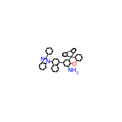 Nc1cc(-c2ccc(-n3c(-c4ccccc4)nc4ccccc43)c3ccccc23)cc2c1Oc1ccccc1C21c2ccccc2-c2ccccc21